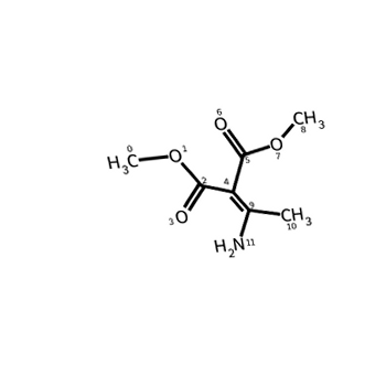 COC(=O)C(C(=O)OC)=C(C)N